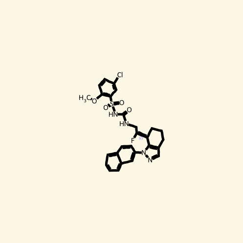 COc1ccc(Cl)cc1S(=O)(=O)NC(=O)NC/C(F)=C1\CCCc2cnn(-c3ccc4ccccc4c3)c21